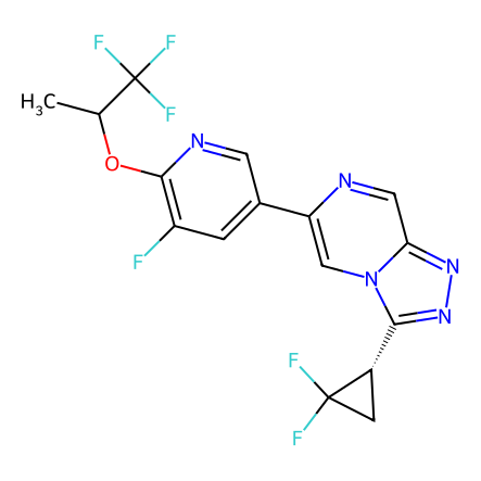 CC(Oc1ncc(-c2cn3c([C@@H]4CC4(F)F)nnc3cn2)cc1F)C(F)(F)F